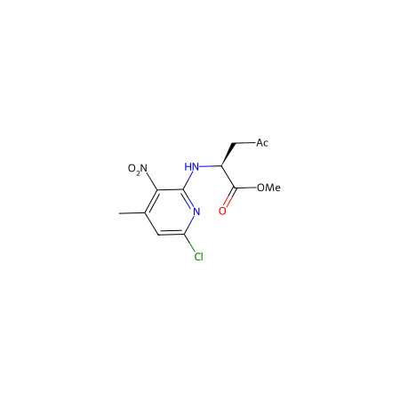 COC(=O)[C@H](CC(C)=O)Nc1nc(Cl)cc(C)c1[N+](=O)[O-]